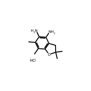 Cc1c(C)c2c(c(N)c1N)CC(C)(C)O2.Cl